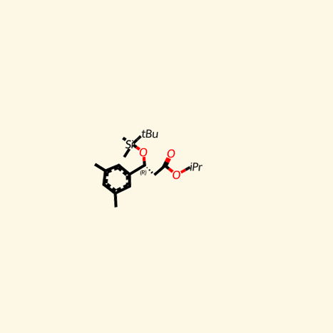 Cc1cc(C)cc([C@@H](CC(=O)OC(C)C)O[Si](C)(C)C(C)(C)C)c1